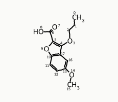 CCCOc1c(C(=O)O)oc2ccc(OC)cc12